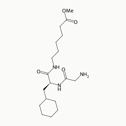 COC(=O)CCCCCNC(=O)[C@H](CC1CCCCC1)NC(=O)CN